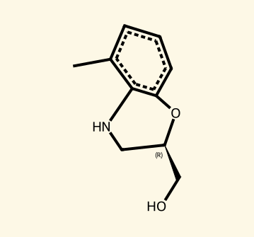 Cc1cccc2c1NC[C@H](CO)O2